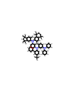 Cc1cc2c3c(c1)N(c1ccc(C(C)(C)C)cc1-c1ccccc1)c1cc(N(c4ccccc4)c4ccccc4)ccc1B3c1cc3c(cc1N2c1cc2c(cc1C)C(C)(C)CC2(C)C)C(C)(C)CCC3(C)C